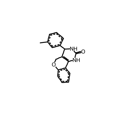 Cc1cccc(C2NC(=O)NC3=C2COc2ccccc23)c1